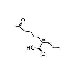 CCC[C@H](CCCCC(C)=O)C(=O)O